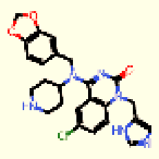 O=c1nc(N(Cc2ccc3c(c2)OCO3)C2CCNCC2)c2cc(Cl)ccc2n1Cc1cnc[nH]1